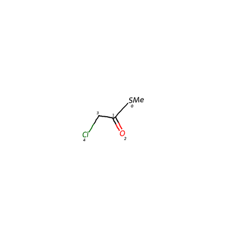 CSC(=O)CCl